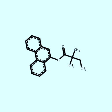 CCC(C)(C)C(=O)Oc1cc2ccccc2c2ccccc12